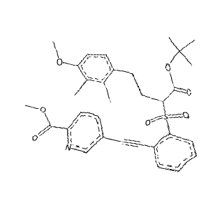 COC(=O)c1ccc(C#Cc2ccccc2S(=O)(=O)C(CCc2ccc(OC)c(C)c2C)C(=O)OC(C)(C)C)cn1